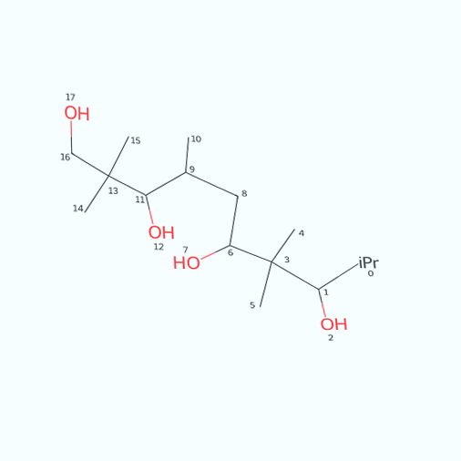 CC(C)C(O)C(C)(C)C(O)CC(C)C(O)C(C)(C)CO